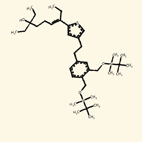 CCC(=CCCC(O)(CC)CC)c1cc(CCc2ccc(CO[Si](C)(C)C(C)(C)C)c(CO[Si](C)(C)C(C)(C)C)c2)cs1